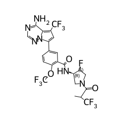 CC(C(=O)N1C[C@H](F)[C@H](NC(=O)c2cc(-c3cc(C(F)(F)F)c4c(N)ncnn34)ccc2OC(F)(F)F)C1)C(F)(F)F